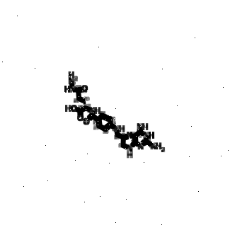 N=c1[nH]c(N)nc2c1N=C(CNc1ccc(C(=O)N[C@@H](CCC(=O)NN)C(=O)O)cc1)CN2